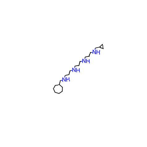 C1CCCC(CNCCCNCCCNCCCNCC2CC2)CC1